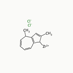 CC1=CC2=C(C=CC=CC2C)[CH]1[Zr+2].[Cl-].[Cl-]